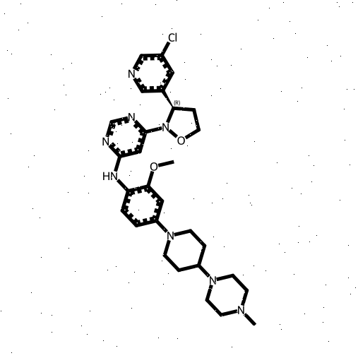 COc1cc(N2CCC(N3CCN(C)CC3)CC2)ccc1Nc1cc(N2OCC[C@@H]2c2cncc(Cl)c2)ncn1